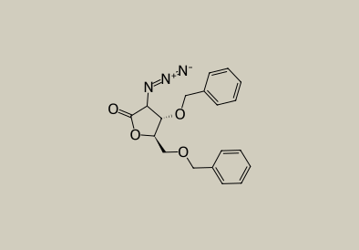 [N-]=[N+]=NC1C(=O)O[C@H](COCc2ccccc2)[C@H]1OCc1ccccc1